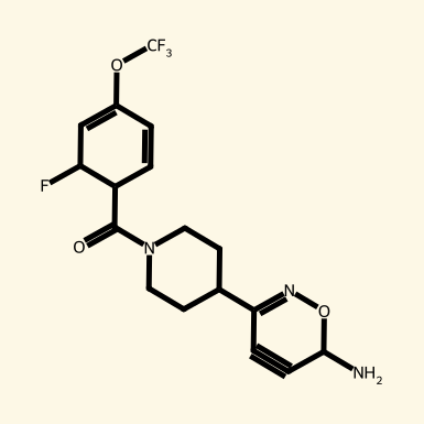 NC1C#CC(C2CCN(C(=O)C3C=CC(OC(F)(F)F)=CC3F)CC2)=NO1